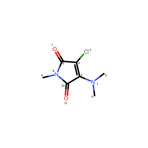 CN(C)C1=C(Cl)C(=O)N(C)C1=O